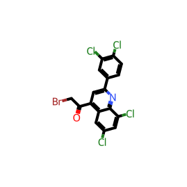 O=C(CBr)c1cc(-c2ccc(Cl)c(Cl)c2)nc2c(Cl)cc(Cl)cc12